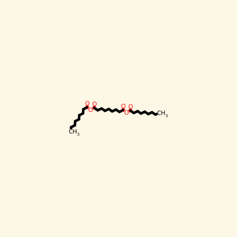 CCCCCCCCC(=O)OC(=O)CCCCCCCC(=O)OC(=O)CCCCCCCC